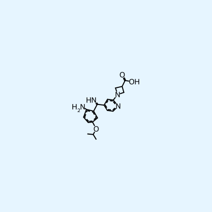 CC(C)Oc1ccc(N)c(C(=N)c2ccnc(N3CC(C(=O)O)C3)c2)c1